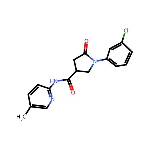 Cc1ccc(NC(=O)C2CC(=O)N(c3cccc(Cl)c3)C2)nc1